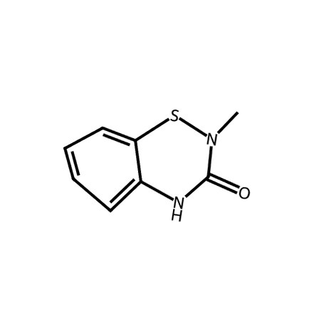 CN1Sc2ccccc2NC1=O